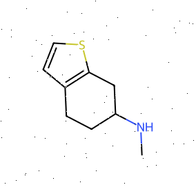 CNC1CCc2ccsc2C1